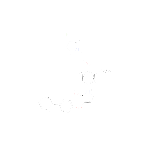 COc1cc(N2CC=C(Oc3ccc(-c4ccccc4)cc3)C2=O)ccc1OCCN1CC[C@H](F)C1